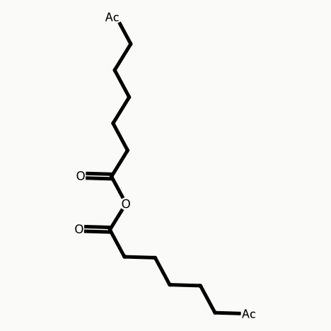 CC(=O)CCCCCC(=O)OC(=O)CCCCCC(C)=O